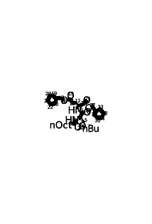 CCCCCCCCC(=O)N[C@@H](COCCCC)C(=O)N[C@H](CCC(=O)OCc1ccccc1)C(=O)OCc1ccccc1